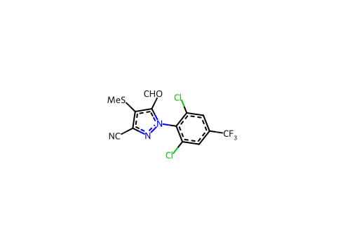 CSc1c(C#N)nn(-c2c(Cl)cc(C(F)(F)F)cc2Cl)c1C=O